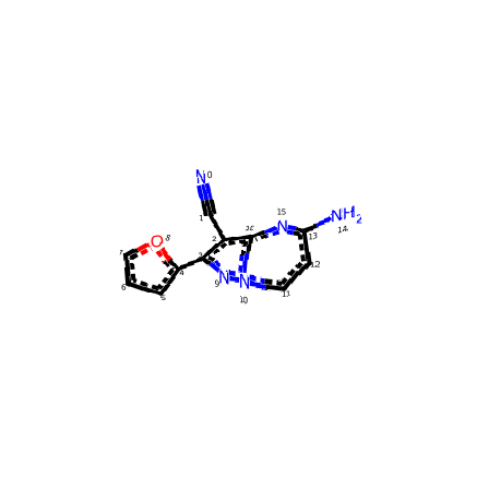 N#Cc1c(-c2ccco2)nn2ccc(N)nc12